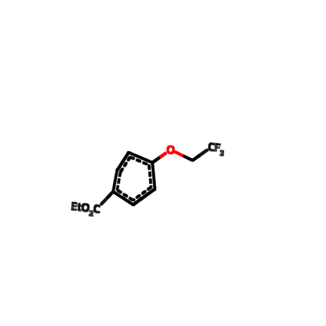 CCOC(=O)c1ccc(OCC(F)(F)F)cc1